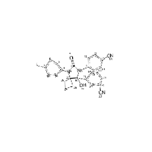 Cc1ccc(N2C(=O)N(c3ccc(C#N)cc3)C(O)(c3cccc(C#N)c3)C23CCC3)cc1